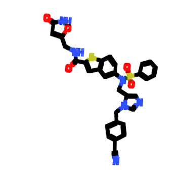 N#Cc1ccc(Cn2cncc2CN(c2ccc3sc(C(=O)NCc4cc(=O)[nH]o4)cc3c2)S(=O)(=O)c2ccccc2)cc1